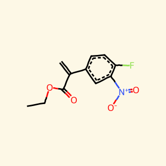 C=C(C(=O)OCC)c1ccc(F)c([N+](=O)[O-])c1